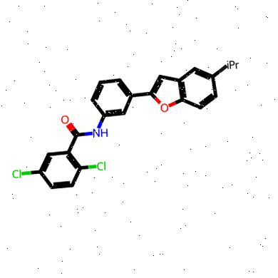 CC(C)c1ccc2oc(-c3cccc(NC(=O)c4cc(Cl)ccc4Cl)c3)cc2c1